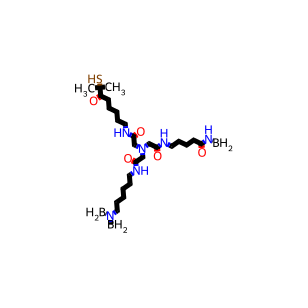 BNC(=O)CCCCNC(=O)CN(CC(=O)NCCCCCCN(B)B)CC(=O)NCCCCCC(=O)C(C)(C)S